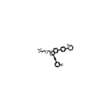 CN1CCCCC1c1[c]cc(-c2ccc3c(c2)c(C#Cc2cccc(F)c2)nn3COCC[Si](C)(C)C)cc1